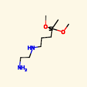 CO[Si](C)(CCCNCCN)OC